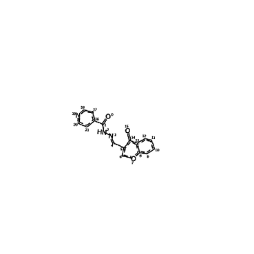 O=C(NN=Cc1coc2ccccc2c1=O)c1ccncc1